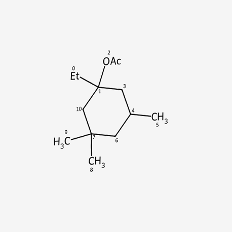 CCC1(OC(C)=O)CC(C)CC(C)(C)C1